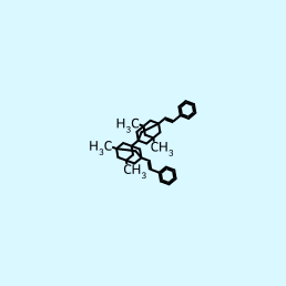 CC12CC3(C)CC(C=Cc4ccccc4)(C1)CC(C14CC5(C)CC(C)(CC(C=Cc6ccccc6)(C5)C1)C4)(C2)C3